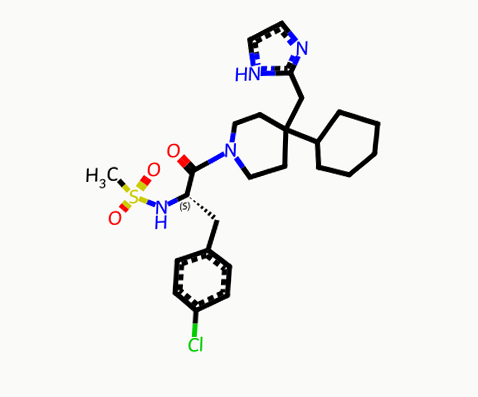 CS(=O)(=O)N[C@@H](Cc1ccc(Cl)cc1)C(=O)N1CCC(Cc2ncc[nH]2)(C2CCCCC2)CC1